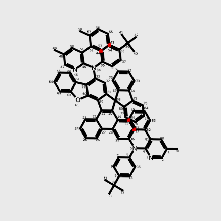 Cc1cnc(N(c2ccc(C(C)(C)C)cc2)c2ccc3c4c(c5ccccc5c3c2)-c2c(cc(N(c3ccc(C(C)(C)C)cc3)c3ncc(C)cc3-c3ccccc3C)c3c2oc2ccccc23)C42c3ccccc3-c3ccccc32)c(-c2ccccc2)c1